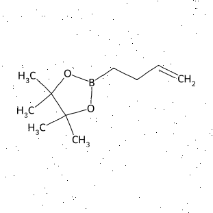 C=CCCB1OC(C)(C)C(C)(C)O1